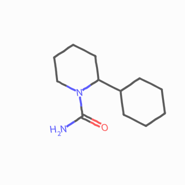 NC(=O)N1CCCCC1C1CCCCC1